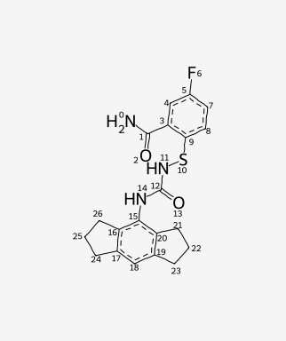 NC(=O)c1cc(F)ccc1SNC(=O)Nc1c2c(cc3c1CCC3)CCC2